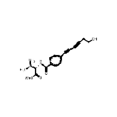 COC(=O)[C@@H](NC(=O)c1ccc(C#CC#CCCO)cc1)[C@@H](C)N